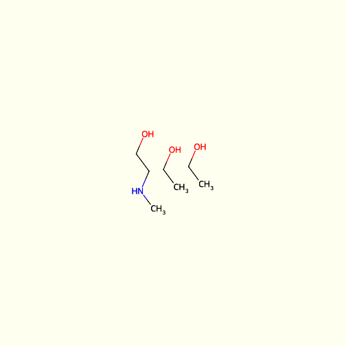 CCO.CCO.CNCCO